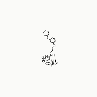 CCOC(=O)C1=C(N)C(NCCCOc2cccc(CN3CCCCC3)c2)=NS1(=O)=O